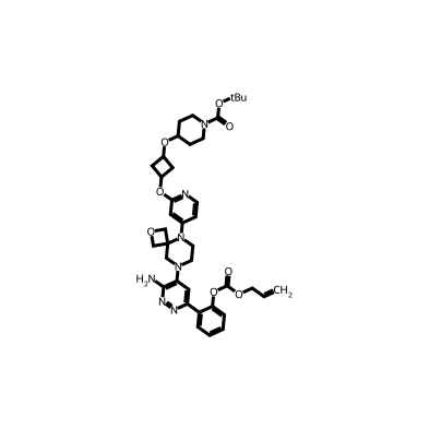 C=CCOC(=O)Oc1ccccc1-c1cc(N2CCN(c3ccnc(OC4CC(OC5CCN(C(=O)OC(C)(C)C)CC5)C4)c3)C3(COC3)C2)c(N)nn1